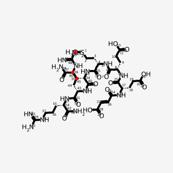 CSCC[C@H](NC(=O)[C@H](CCC(=O)O)NC(=O)[C@H](CCC(=O)O)NC(=O)/C=C/C(=O)O)C(=O)N[C@@H](CCC(N)=O)C(=O)N[C@@H](CCCNC(=N)N)C(=O)N[C@@H](CCCNC(=N)N)C(N)=O